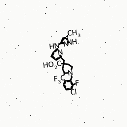 Cc1cc(Nc2cccc(CC3(C(=O)O)CCN(Cc4cccc(Cl)c4F)C(C(F)(F)F)C3)n2)n[nH]1